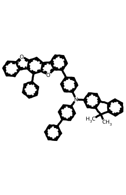 CC1(C)c2ccccc2-c2ccc(N(c3ccc(-c4ccccc4)cc3)c3ccc(-c4cccc5c4oc4c(-c6ccccc6)c6c(cc45)oc4ccccc46)cc3)cc21